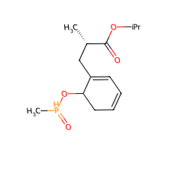 CC(C)OC(=O)[C@@H](C)CC1=CC=CCC1O[PH](C)=O